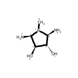 CN1[C@H](N)[C@H](O)[C@@H](O)[C@@H]1N